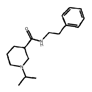 CC(C)N1CCCC(C(=O)NCCc2ccccc2)C1